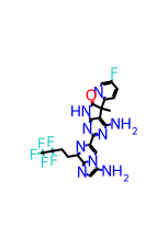 CC1(c2ccc(F)cn2)C(=O)Nc2nc(-c3cn4c(N)cnc4c(CCC(F)(F)C(F)(F)F)n3)nc(N)c21